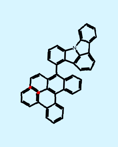 c1ccc(-c2ccccc2-c2c3ccccc3c(-c3cccc4c3c3cccc5c6ccccc6n4c53)c3ccccc23)cc1